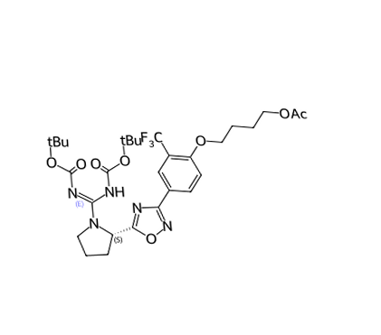 CC(=O)OCCCCOc1ccc(-c2noc([C@@H]3CCCN3/C(=N/C(=O)OC(C)(C)C)NC(=O)OC(C)(C)C)n2)cc1C(F)(F)F